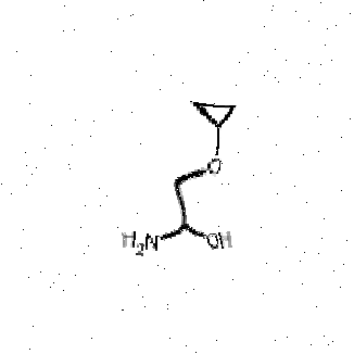 NC(O)COC1CC1